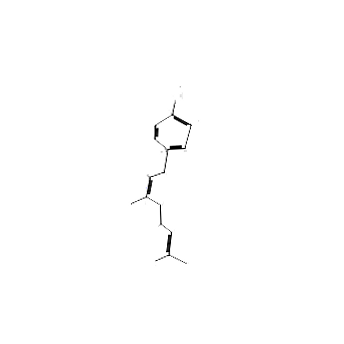 CC(C)=CCC/C(C)=C\Cc1ccc(O)cc1